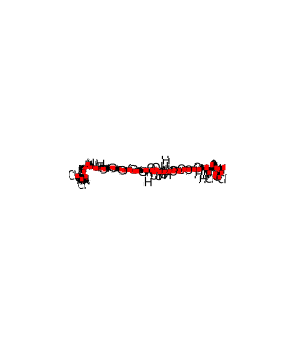 CN1Cc2c(Cl)cc(Cl)cc2[C@H](c2cccc(/C(=C/NCCOCCOCCOCCOCCNC(=O)C[C@@H](O)[C@@H](O)[C@H](O)C(=O)NCOCCOCCOCCOCCOCCN/C=C(\N=N)c3cccc([C@@H]4CN(C)Cc5c(Cl)cc(Cl)cc54)c3)N=N)c2)C1